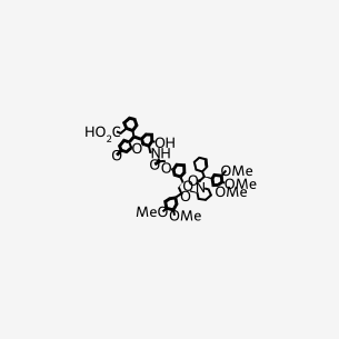 COc1ccc(CC[C@@H](OC(=O)[C@@H]2CCCCN2C(=O)[C@H](c2cc(OC)c(OC)c(OC)c2)C2C=CCCC2)c2cccc(OCC(=O)NCc3c(O)ccc4c(-c5ccccc5CC(=O)O)c5ccc(=O)cc-5oc34)c2)cc1OC